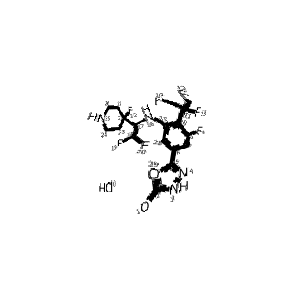 Cl.O=c1[nH]nc(-c2cc(F)c(C(F)(F)F)c(N[C@@H](C(F)F)C3(F)CCNCC3)c2)o1